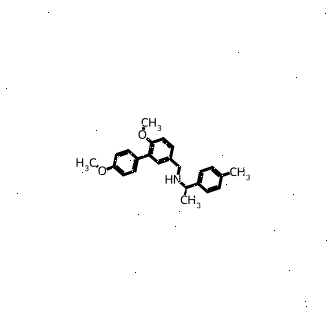 COc1ccc(-c2cc(CN[C@H](C)c3ccc(C)cc3)ccc2OC)cc1